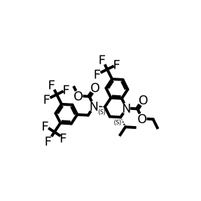 CCOC(=O)N1c2ccc(C(F)(F)F)cc2[C@@H](N(Cc2cc(C(F)(F)F)cc(C(F)(F)F)c2)C(=O)OC)C[C@H]1C(C)C